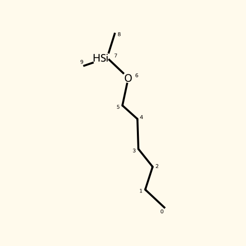 CCCCCCO[SiH](C)C